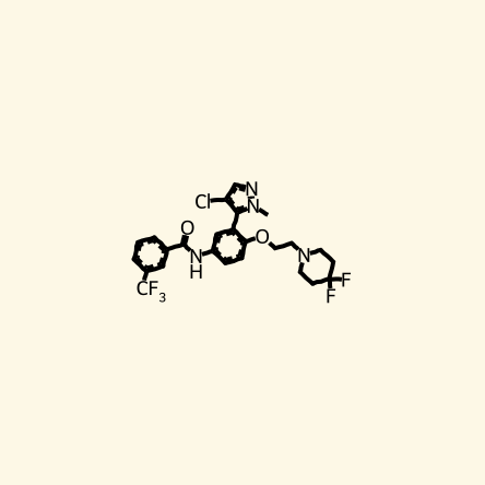 Cn1ncc(Cl)c1-c1cc(NC(=O)c2cccc(C(F)(F)F)c2)ccc1OCCN1CCC(F)(F)CC1